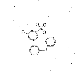 O=S(=O)([O-])c1cccc(F)c1.c1ccc([I+]c2ccccc2)cc1